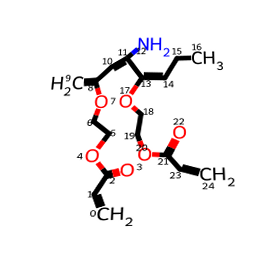 C=CC(=O)OCCOC(=C)/C=C(N)\C(=C/CC)OCCOC(=O)C=C